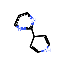 C1=CC(c2ncccn2)C=CN1